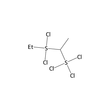 CCS(Cl)(Cl)C(C)S(Cl)(Cl)Cl